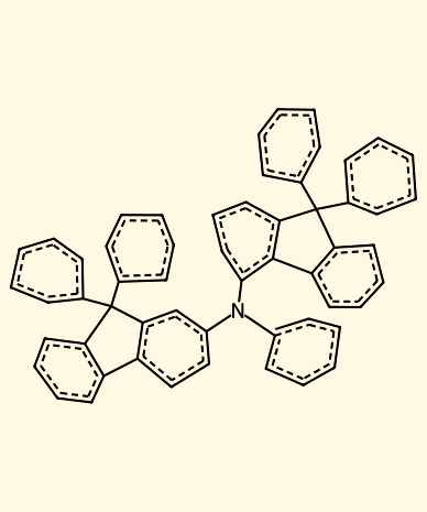 c1ccc(N(c2ccc3c(c2)C(c2ccccc2)(c2ccccc2)c2ccccc2-3)c2cccc3c2-c2ccccc2C3(c2ccccc2)c2ccccc2)cc1